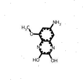 COc1cc(N)cc2nc(O)c(O)nc12